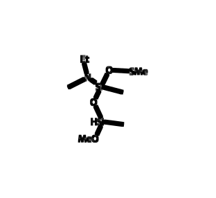 CCN(C)[Si](C)(OSC)O[SiH](C)OC